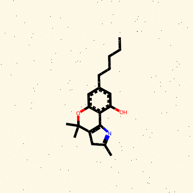 CCCCCc1cc(O)c2c(c1)OC(C)(C)C1=C2N=C(C)C1